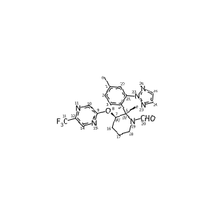 Cc1ccc([C@@]2(C)[C@H](Oc3cnc(C(F)(F)F)cn3)CCCN2C=O)c(-n2nccn2)c1